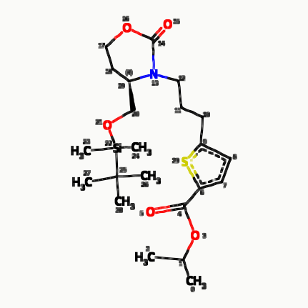 CC(C)OC(=O)c1ccc(CCCN2C(=O)OCC[C@@H]2CO[Si](C)(C)C(C)(C)C)s1